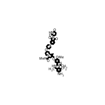 CNC(=O)C(CC1(COc2cc3c(NC(C)c4cc(N)cc(C(F)(F)F)c4)nc(C)nc3cc2OC)CC1)N1CCC(OC2CCN(c3ccc4c(c3)C(=O)N(C3CCC(=O)NC3=O)C4=O)CC2)CC1